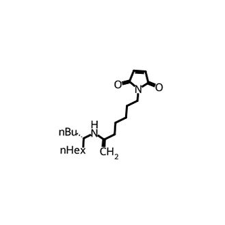 C=C(CCCCCN1C(=O)C=CC1=O)N[C@@H](CCCC)CCCCCC